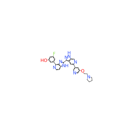 Oc1cc(F)cc(-c2nccc3[nH]c(-c4n[nH]c5cnc(-c6cncc(OCCN7CCCC7)c6)cc45)nc23)c1